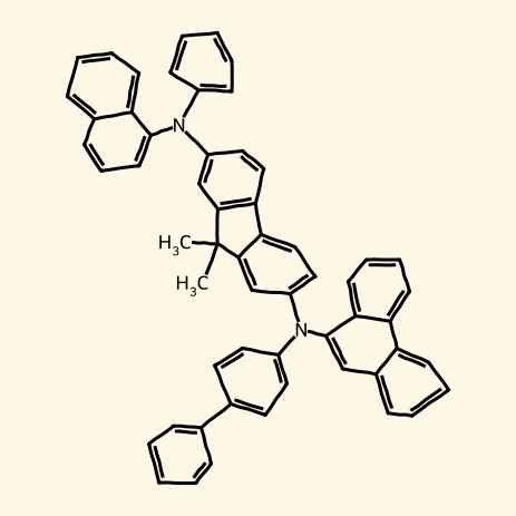 CC1(C)c2cc(N(c3ccccc3)c3cccc4ccccc34)ccc2-c2ccc(N(c3ccc(-c4ccccc4)cc3)c3cc4ccccc4c4ccccc34)cc21